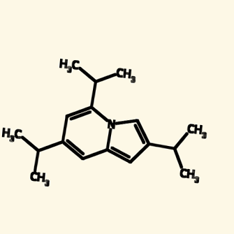 CC(C)c1cc(C(C)C)n2cc(C(C)C)cc2c1